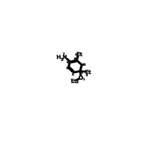 CCOC1(CC)C=CC(N)=C(CC)C1